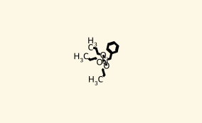 CCCO[Si](Cc1ccccc1)(OCCC)OCCC